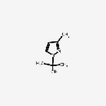 Cc1ccn(C(C)(C)O)n1